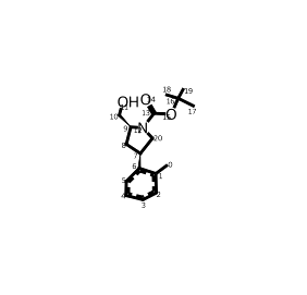 Cc1ccccc1[C@H]1C[C@@H](CO)N(C(=O)OC(C)(C)C)C1